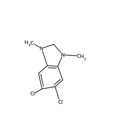 CN1CN(C)c2cc(Cl)c(Cl)cc21